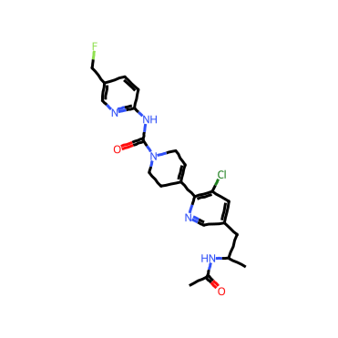 CC(=O)NC(C)Cc1cnc(C2=CCN(C(=O)Nc3ccc(CF)cn3)CC2)c(Cl)c1